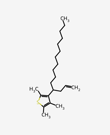 C=CCC(CCCCCCCCCCC)c1c(C)sc(C)c1C